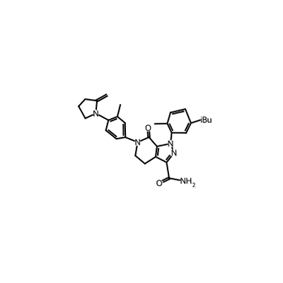 C=C1CCCN1c1ccc(N2CCc3c(C(N)=O)nn(-c4cc(C(C)CC)ccc4C)c3C2=O)cc1C